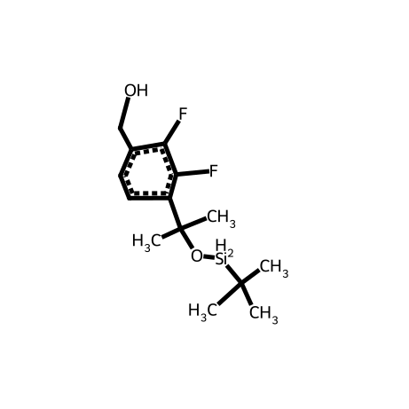 CC(C)(C)[SiH2]OC(C)(C)c1ccc(CO)c(F)c1F